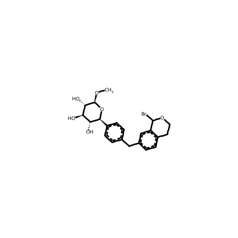 CO[C@H]1O[C@@H](c2ccc(Cc3ccc4c(c3)C(Br)OCC4)cc2)[C@H](O)[C@@H](O)[C@@H]1O